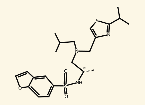 CC(C)CN(Cc1csc(C(C)C)n1)C[C@H](C)NS(=O)(=O)c1ccc2occc2c1